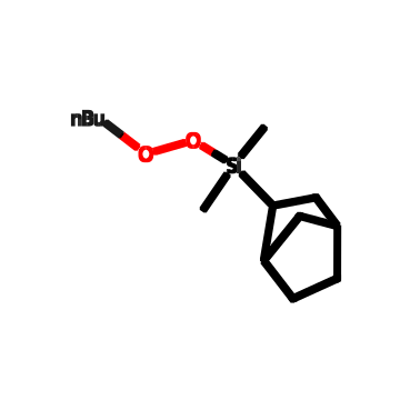 CCCCOO[Si](C)(C)C1CC2CCC1C2